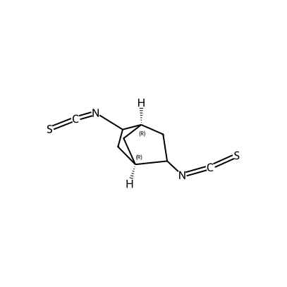 S=C=NC1C[C@H]2C[C@@H]1CC2N=C=S